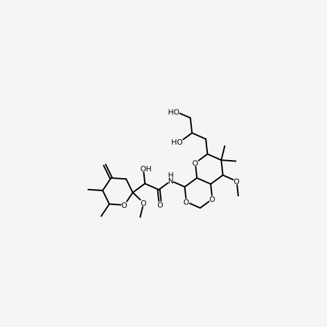 C=C1CC(OC)(C(O)C(=O)NC2OCOC3C2OC(CC(O)CO)C(C)(C)C3OC)OC(C)C1C